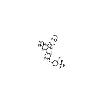 Cc1nc2c(N3C[C@@H](C)N(Cc4ccc(C(F)(F)F)c(F)c4)C[C@@H]3C)nc3nncn3c2n1C[C@@H]1CCCO1